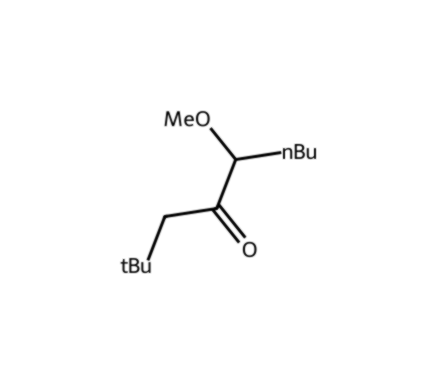 CCCCC(OC)C(=O)CC(C)(C)C